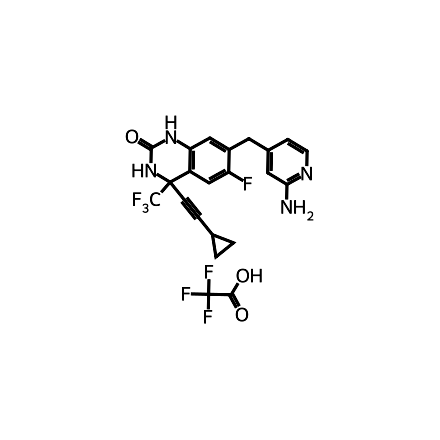 Nc1cc(Cc2cc3c(cc2F)C(C#CC2CC2)(C(F)(F)F)NC(=O)N3)ccn1.O=C(O)C(F)(F)F